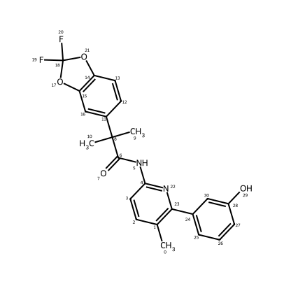 Cc1ccc(NC(=O)C(C)(C)c2ccc3c(c2)OC(F)(F)O3)nc1-c1cccc(O)c1